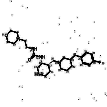 O=C(NCCN1CCOCC1)N[C@H]1CNCC[C@H]1CN1CCCC(Cc2ccc(F)cc2)C1